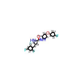 O=C(Nc1ccc(Oc2ccc(F)cc2)cc1)C1CC(Cc2c(F)cc(F)cc2F)CN1